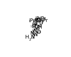 CC(C)[Si]1(C(C)C)OC[C@H]2S[C@@H](n3cnc(N)nc3=O)[C@H](I)[C@@H]2O[Si](C(C)C)(C(C)C)O1